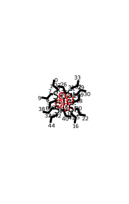 CCC[Si](CCC)(CCC)[O][Ti]([O][Si](CCC)(CCC)CCC)([O][Si](CCC)(CCC)CCC)[O][Si](CCC)(CCC)CCC